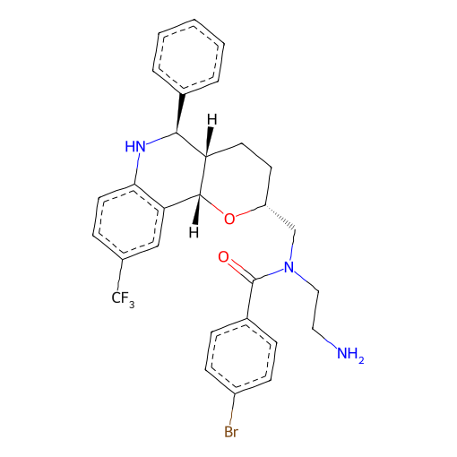 NCCN(C[C@H]1CC[C@@H]2[C@H](O1)c1cc(C(F)(F)F)ccc1N[C@H]2c1ccccc1)C(=O)c1ccc(Br)cc1